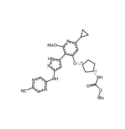 COc1nc(C2CC2)cc(O[C@@H]2CC[C@H](NC(=O)OC(C)(C)C)C2)c1-c1cc(Nc2cnc(C#N)cn2)n[nH]1